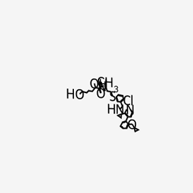 CN(CCCSc1ccc(Cl)c(CNC2(c3cnccc3-c3ccccc3OC3CC3)CC2)c1)C(=O)C(O)CCCCO